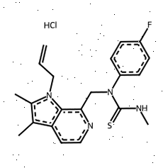 C=CCn1c(C)c(C)c2ccnc(CN(C(=S)NC)c3ccc(F)cc3)c21.Cl